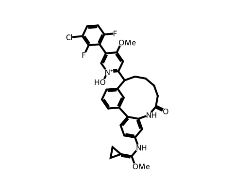 COC(Nc1ccc2c(c1)NC(=O)CCCCC(c1cc(OC)c(-c3c(F)ccc(Cl)c3F)c[n+]1O)c1cccc-2c1)=C1CC1